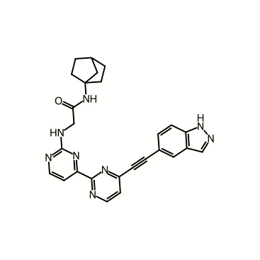 O=C(CNc1nccc(-c2nccc(C#Cc3ccc4[nH]ncc4c3)n2)n1)NC12CCC(CC1)C2